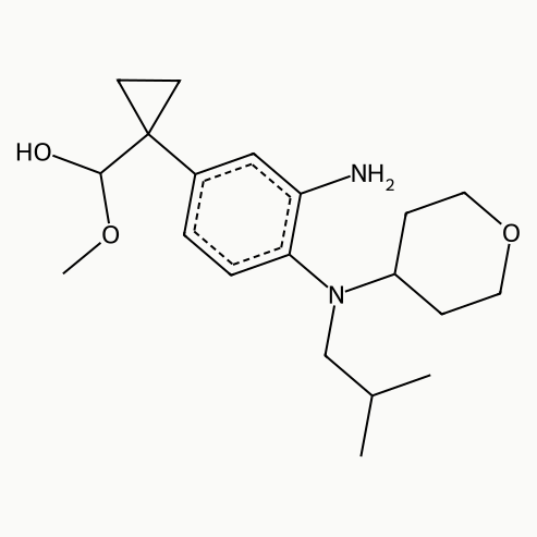 COC(O)C1(c2ccc(N(CC(C)C)C3CCOCC3)c(N)c2)CC1